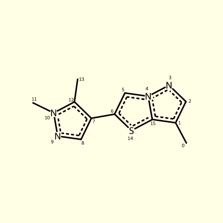 Cc1cnn2cc(-c3cnn(C)c3C)sc12